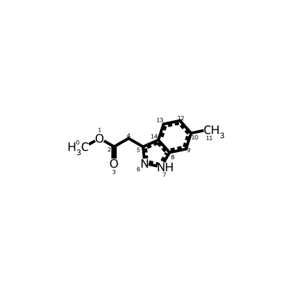 COC(=O)Cc1n[nH]c2cc(C)ccc12